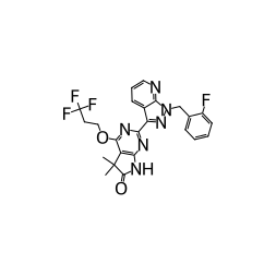 CC1(C)C(=O)Nc2nc(-c3nn(Cc4ccccc4F)c4ncccc34)nc(OCCC(F)(F)F)c21